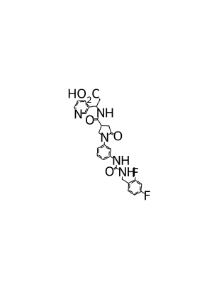 O=C(O)CC(NC(=O)C1CC(=O)N(c2cccc(NC(=O)NCc3ccc(F)cc3F)c2)C1)c1cccnc1